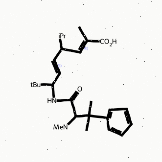 CNC(C(=O)NC(/C=C/C(/C=C(\C)C(=O)O)C(C)C)C(C)(C)C)C(C)(C)c1ccccc1